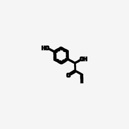 C=CC(=O)C(O)c1ccc(O)cc1